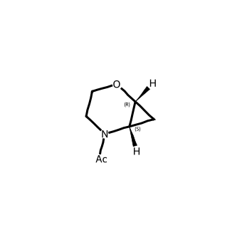 CC(=O)N1CCO[C@@H]2C[C@@H]21